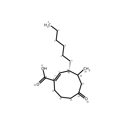 CCCCCC[C@H]1/C=C(/C(=O)O)CCCC(=O)CC1C